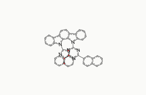 c1ccc(-c2nc(-c3ccc4ccccc4c3)nc(-n3c4ccccc4c4ccc5c6ccccc6n(-c6nc7ccccc7s6)c5c43)n2)cc1